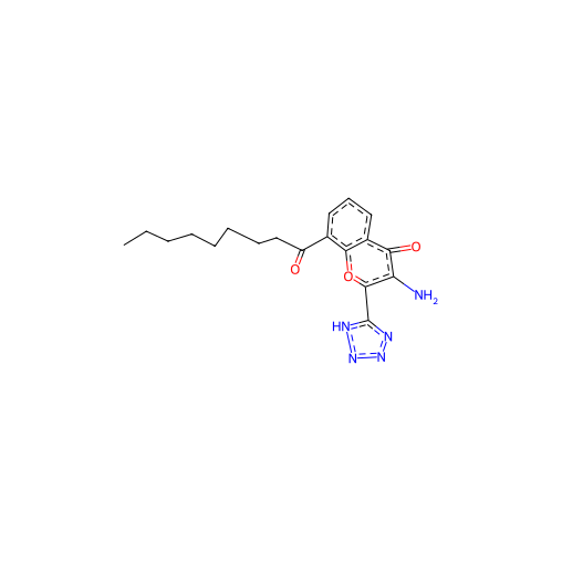 CCCCCCCCC(=O)c1cccc2c(=O)c(N)c(-c3nnn[nH]3)oc12